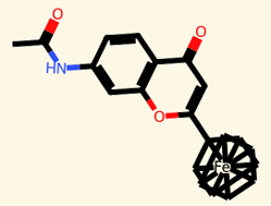 CC(=O)Nc1ccc2c(=O)cc([C]34[CH]5[CH]6[CH]7[CH]3[Fe]6754389%10[CH]4[CH]3[CH]8[CH]9[CH]4%10)oc2c1